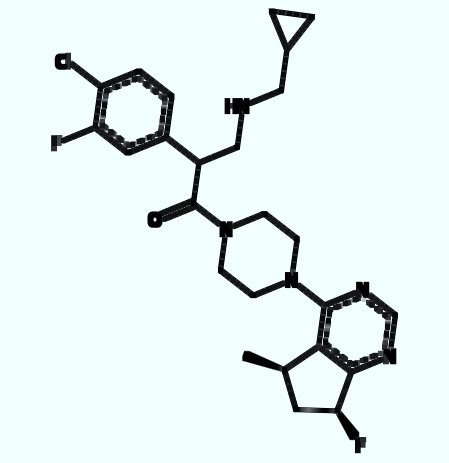 C[C@@H]1C[C@H](F)c2ncnc(N3CCN(C(=O)C(CNCC4CC4)c4ccc(Cl)c(F)c4)CC3)c21